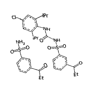 CCC(=O)c1cccc(S(=O)(=O)NC(=O)Nc2c(C(C)C)cc(Cl)cc2C(C)C)c1.CCC(=O)c1cccc(S(N)(=O)=O)c1